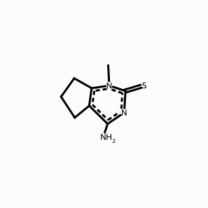 Cn1c2c(c(N)nc1=S)CCC2